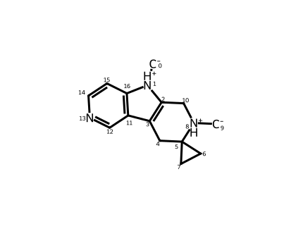 [CH2-][NH+]1C2=C(CC3(CC3)[NH+]([CH2-])C2)c2cnccc21